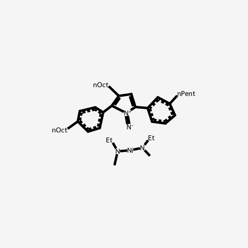 CCCCCCCCC1=C(c2ccc(CCCCCCCC)cc2)[N+](=[N-])C(c2cccc(CCCCC)c2)=C1.CC[N](C)[Ni][N](C)CC